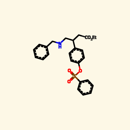 CCOC(=O)CC(CNCc1ccccc1)c1ccc(OS(=O)(=O)c2ccccc2)cc1